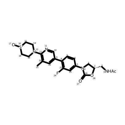 CC(=O)NC[C@H]1CN(c2ccc(-c3cnc(N4CC[S+]([O-])CC4)c(C)c3)c(F)c2)C(=O)O1